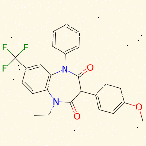 CCN1C(=O)C(C2=CC=C(OC)CC2)C(=O)N(c2ccccc2)c2cc(C(F)(F)F)ccc21